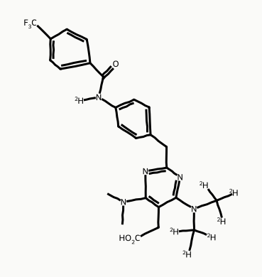 [2H]N(C(=O)c1ccc(C(F)(F)F)cc1)c1ccc(Cc2nc(N(C)C)c(CC(=O)O)c(N(C([2H])([2H])[2H])C([2H])([2H])[2H])n2)cc1